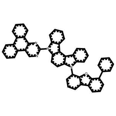 c1ccc(-c2cccc3c2oc2c(-n4c5ccccc5c5c6c7ccccc7n(-c7ncc8c9ccccc9c9ccccc9c8n7)c6ccc54)cccc23)cc1